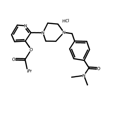 CC(C)C(=O)Oc1cccnc1N1CCN(Cc2ccc(C(=O)N(C)C)cc2)CC1.Cl